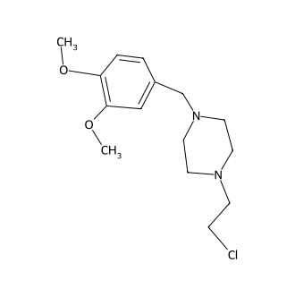 COc1ccc(CN2CCN(CCCl)CC2)cc1OC